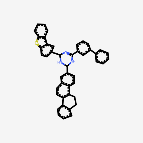 c1ccc(-c2cccc(C3=NC(c4ccc5sc6ccccc6c5c4)NC(c4ccc5c6c(ccc5c4)-c4ccccc4CC6)N3)c2)cc1